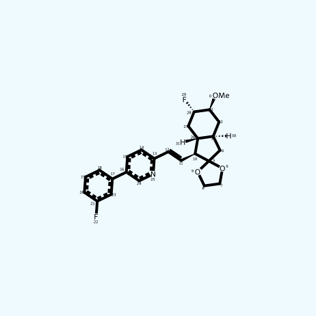 CO[C@H]1C[C@H]2CC3(OCCO3)[C@@H](/C=C/c3ccc(-c4cccc(F)c4)cn3)[C@@H]2C[C@@H]1F